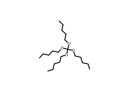 CCCCCOC(OCCCCC)(OCCCCC)OCCCCC